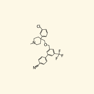 CN1CCC(COCc2cc(-c3ccc(C#N)cc3)cc(C(F)(F)F)c2)(c2cccc(Cl)c2)CC1